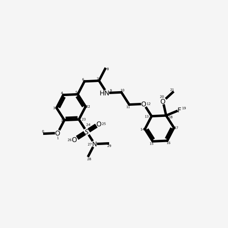 COc1ccc(CC(C)NCCOC2C=CC=CC2(F)OC)cc1S(=O)(=O)N(C)C